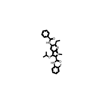 CCc1nc2c(cc1NC(=O)c1ccccc1)c(OC(C)C)c(C(=O)Nc1ccccc1F)n2C